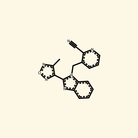 Cc1nonc1-c1nc2ccccc2n1Cc1cccnc1C#N